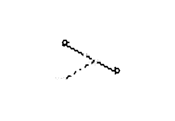 C=C1CCCC(C)=C1CCCCCCCCC(=O)N[C@@H](CCCCNC(=O)CCCCCCCCC1=C(C)CCCC1(C)C)C(=O)NCCCOCCOCCOCCCNC